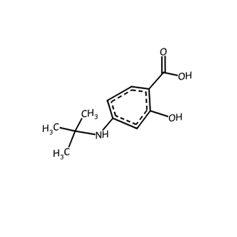 CC(C)(C)Nc1ccc(C(=O)O)c(O)c1